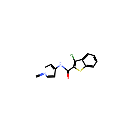 C=N/C=C\C(=C/C)NC(=O)c1sc2ccccc2c1Cl